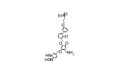 CCN(CC)CCCOc1cccc(-c2cccc(COc3cc(OCC4=CC(=N)/C(=N\O)C=C4)c(CN)cc3Cl)c2Cl)c1